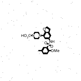 COc1ccc(C)cc1S(=O)(=O)Nc1cc(N2CCN(C(=O)O)CC2)c2occc2c1